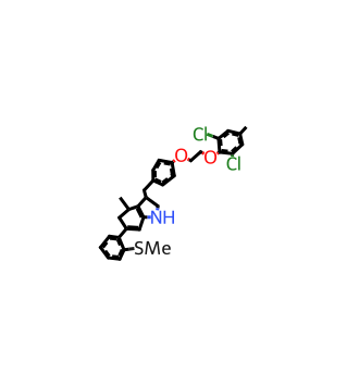 CSc1ccccc1C1=CC2=C(C(C)C1)C(Cc1ccc(OCCOc3c(Cl)cc(C)cc3Cl)cc1)CN2